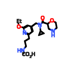 CCOc1cc(CN(C(=O)C2CNCCO2)C2CC2)cc(CCCNC(=O)O)n1